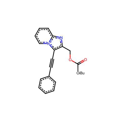 CC(C)COC(=O)OCc1nc2ccccn2c1C#Cc1ccccc1